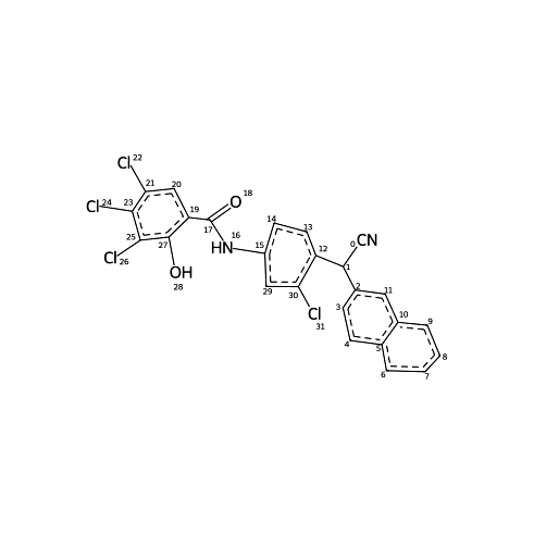 N#CC(c1ccc2ccccc2c1)c1ccc(NC(=O)c2cc(Cl)c(Cl)c(Cl)c2O)cc1Cl